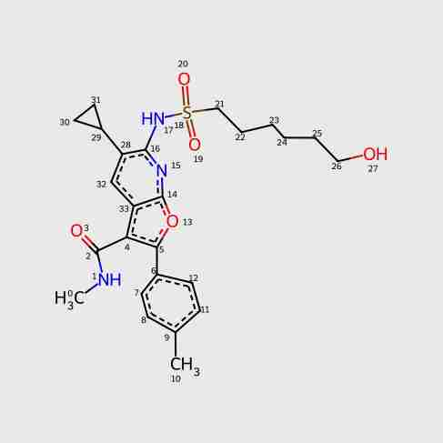 CNC(=O)c1c(-c2ccc(C)cc2)oc2nc(NS(=O)(=O)CCCCCCO)c(C3CC3)cc12